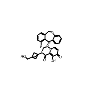 O=C1c2c(O)c(=O)ccn2N([C@@H]2c3ccccc3SCc3cccc(F)c32)CN1C12CC(CO)(C1)C2